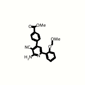 COCOc1ccccc1-c1cc(-c2ccc(C(=O)OC)cc2)c(C#N)c(N)n1